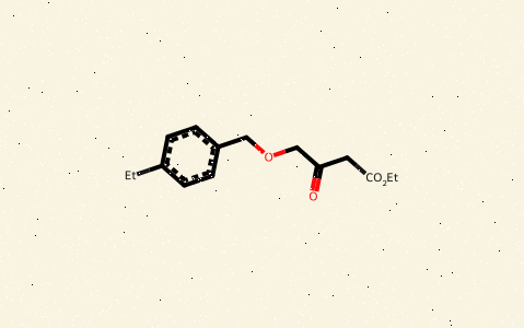 CCOC(=O)CC(=O)COCc1ccc(CC)cc1